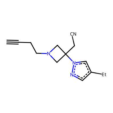 C#CCCN1CC(CC#N)(n2cc(CC)cn2)C1